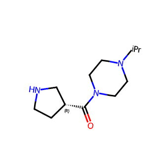 CC(C)N1CCN(C(=O)[C@@H]2CCNC2)CC1